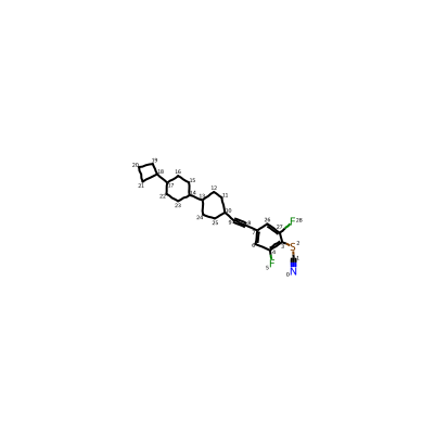 N#CSc1c(F)cc(C#CC2CCC(C3CCC(C4CCC4)CC3)CC2)cc1F